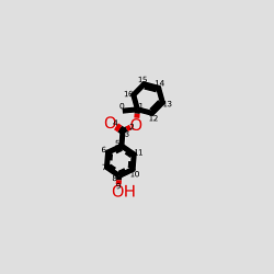 CC1(OC(=O)c2ccc(O)cc2)C=CC=CC1